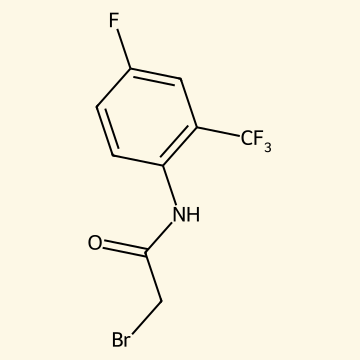 O=C(CBr)Nc1ccc(F)cc1C(F)(F)F